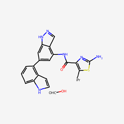 CC(C)c1sc(N)nc1C(=O)Nc1cc(-c2cccc3[nH]ccc23)cc2[nH]ncc12.O=CO